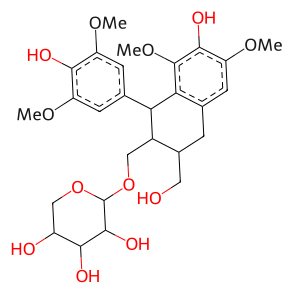 COc1cc(C2c3c(cc(OC)c(O)c3OC)CC(CO)C2COC2OCC(O)C(O)C2O)cc(OC)c1O